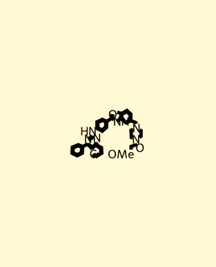 COCC(=O)N1CCN(Cc2ccc(C)c(NC(=O)c3ccc(Nc4nc(-c5ccccc5)c5ccccc5n4)cc3)c2)CC1